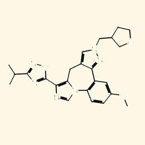 COc1ccc2c(c1)-c1nn(CC3CCOC3)cc1Cc1c(-c3nc(C(C)C)no3)ncn1-2